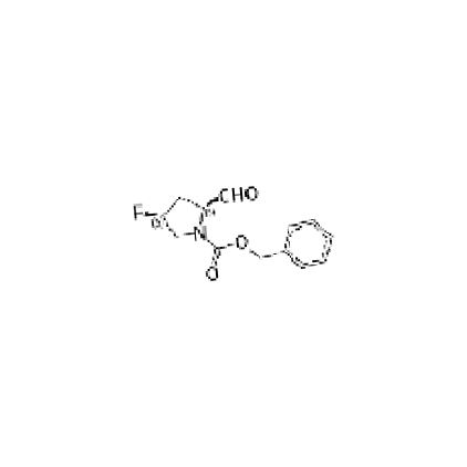 O=C[C@@H]1C[C@H](F)CN1C(=O)OCc1ccccc1